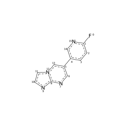 Fc1ccc(-c2cnc3nccn3c2)cn1